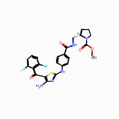 CC(C)(C)OC(=O)N1CCC[C@H]1CNC(=O)c1ccc(Nc2nc(N)c(C(=O)c3c(F)cccc3F)s2)cc1